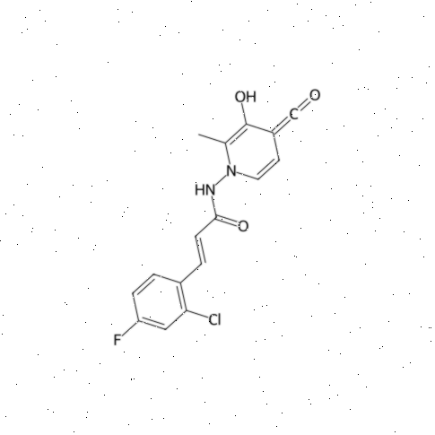 CC1=C(O)C(=C=O)C=CN1NC(=O)/C=C/c1ccc(F)cc1Cl